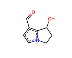 O=Cc1ccn2c1C(O)CC2